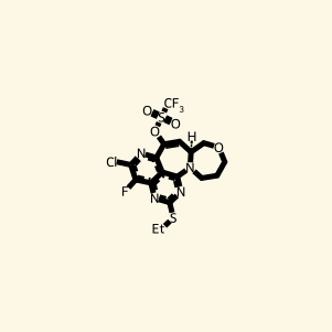 CCSc1nc2c3c(nc(Cl)c(F)c3n1)C(OS(=O)(=O)C(F)(F)F)=C[C@H]1COCCCN21